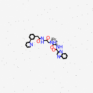 CC(C)C[C@H](NC(=O)c1cnc2ccccc2n1)C(=O)NCC(=O)CNC(=O)Cc1cccc(-c2ccccn2)c1